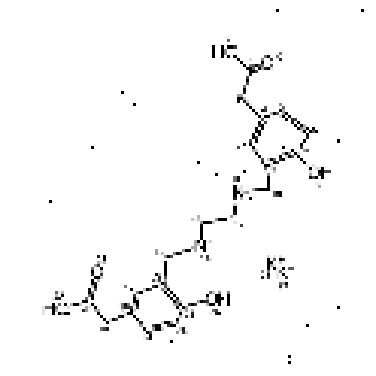 O=C(O)Cc1ccc(O)c(C[N-]CC[N-]Cc2cc(CC(=O)O)ccc2O)c1.[K+].[K+]